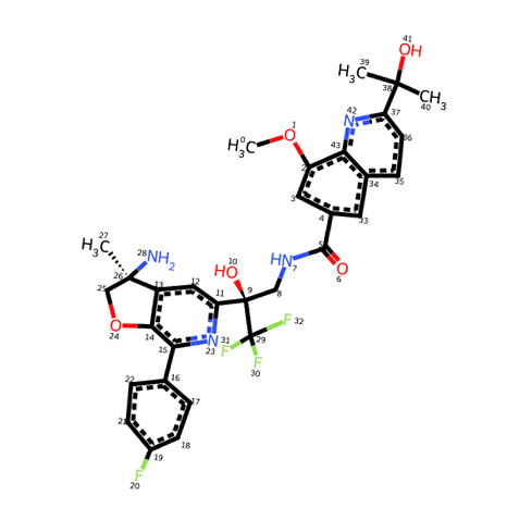 COc1cc(C(=O)NC[C@@](O)(c2cc3c(c(-c4ccc(F)cc4)n2)OC[C@@]3(C)N)C(F)(F)F)cc2ccc(C(C)(C)O)nc12